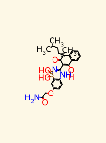 CC(C)CC[C@]1(C)C(=O)C(C2=NS(O)(O)c3cc(OCC(N)=O)ccc3N2)=C(O)c2ccccc21